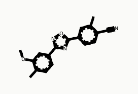 COc1cc(-c2noc(-c3ccc(C#N)c(C)c3)n2)ccc1C